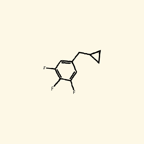 Fc1cc(CC2CC2)cc(F)c1F